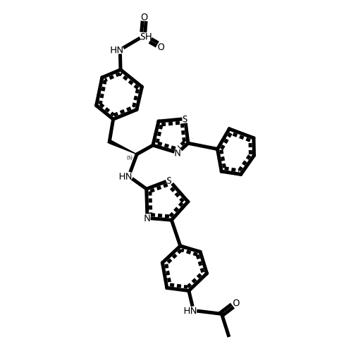 CC(=O)Nc1ccc(-c2csc(N[C@@H](Cc3ccc(N[SH](=O)=O)cc3)c3csc(-c4ccccc4)n3)n2)cc1